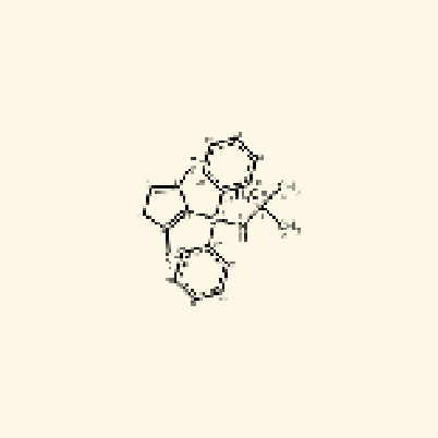 CC1=CCC(C)=C1[Si](N[Si](C)(C)C)(c1ccccc1)c1ccccc1